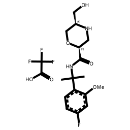 COc1cc(F)ccc1C(C)(C)NC(=O)[C@@H]1CN[C@H](CO)CO1.O=C(O)C(F)(F)F